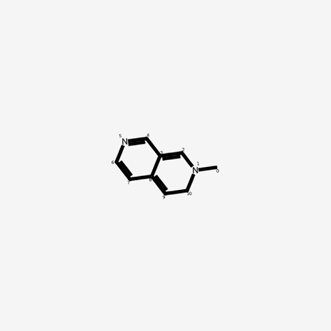 CN1C=c2cnccc2=CC1